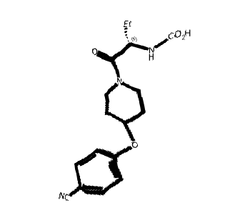 CC[C@H](NC(=O)O)C(=O)N1CCC(Oc2ccc(C#N)cc2)CC1